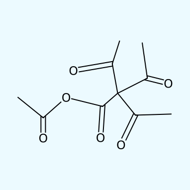 CC(=O)OC(=O)C(C(C)=O)(C(C)=O)C(C)=O